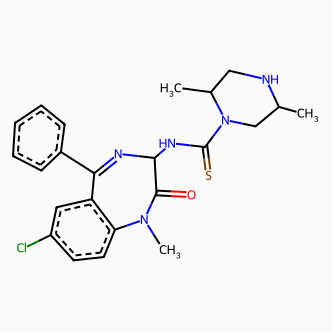 CC1CN(C(=S)NC2N=C(c3ccccc3)c3cc(Cl)ccc3N(C)C2=O)C(C)CN1